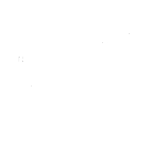 CCOC(=O)CC.NC(=O)CCc1cccc(Cc2ccccc2)c1